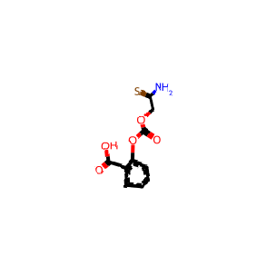 NC(=S)COC(=O)Oc1ccccc1C(=O)O